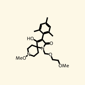 COCCOCN1C(=O)C(c2c(C)cc(C)cc2C)=C(O)C12CCN(OC)CC2